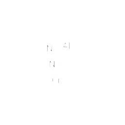 [Al+3].[Cr+3].[N-3].[N-3]